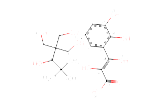 CC(C)(C)C(O)C(CO)(CO)CO.O=C(O)C(O)=C(O)c1cccc(O)c1O